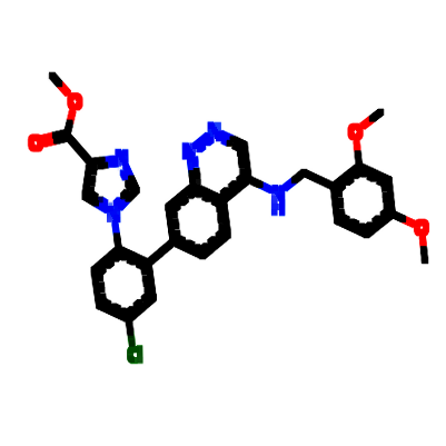 COC(=O)c1cn(-c2ccc(Cl)cc2-c2ccc3c(NCc4ccc(OC)cc4OC)cnnc3c2)cn1